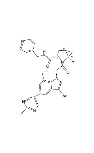 CC(=O)c1nn(CC(=O)N2[C@H](C(=O)NCc3ccncc3)C[C@@]3(C)C[C@@H]23)c2c(C)cc(-c3cnc(C)nc3)cc12